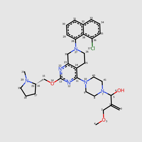 C=C(COC)C(O)N1CCN(c2nc(OC[C@@H]3CCCN3C)nc3c2CCN(c2cccc4cccc(Cl)c24)C3)CC1